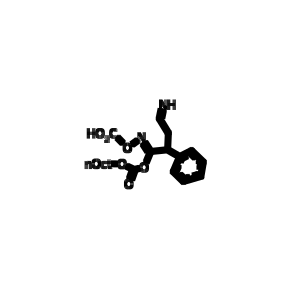 CCCCCCCCOC(=O)OC(=NOC(=O)O)C(CC=N)c1ccccc1